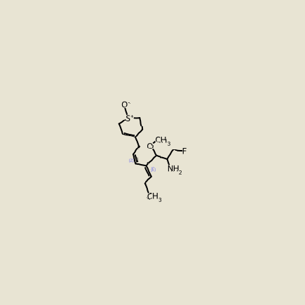 CC/C=C(\C=C/CC1=CC[S+]([O-])CC1)C(OC)C(N)CF